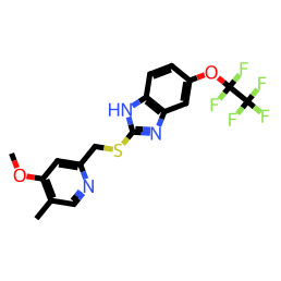 COc1cc(CSc2nc3cc(OC(F)(F)C(F)(F)F)ccc3[nH]2)ncc1C